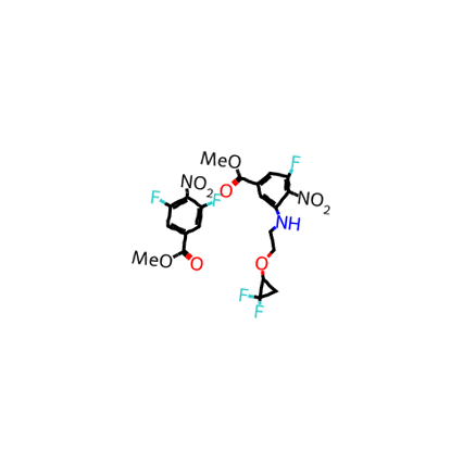 COC(=O)c1cc(F)c([N+](=O)[O-])c(F)c1.COC(=O)c1cc(F)c([N+](=O)[O-])c(NCCOC2CC2(F)F)c1